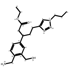 CCCn1cc(CCC(CC(=O)OCC)c2ccc(CN)c(CO)c2)nn1